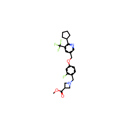 COC(=O)C1CN(Cc2ccc(OCc3cnc(C4CCCC4)c(C(F)(F)F)c3)cc2F)C1